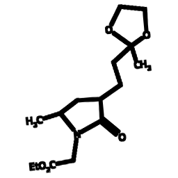 CCOC(=O)CN1C(=O)C(CCC2(C)OCCO2)CC1C